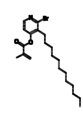 C=C(C)C(=O)Oc1ccnc(Br)c1CCCCCCCCCCCC